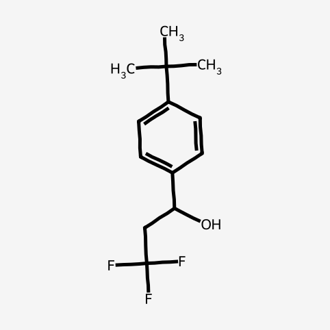 CC(C)(C)c1ccc(C(O)CC(F)(F)F)cc1